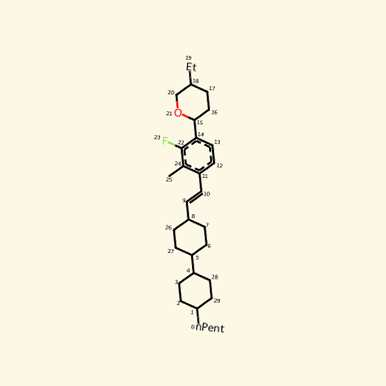 CCCCCC1CCC(C2CCC(/C=C/c3ccc(C4CCC(CC)CO4)c(F)c3C)CC2)CC1